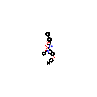 CC(C)(C)c1ccc(Oc2ccc3c(c2)CN(C(=O)C2CCCC2)[C@H](C(=O)N[C@@H](Cc2ccc(-c4ccccc4)cc2)C(=O)O)C3)cc1